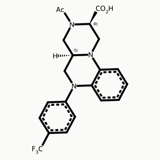 CC(=O)N1C[C@@H]2CN(c3ccc(C(F)(F)F)cc3)c3ccccc3N2C[C@@H]1C(=O)O